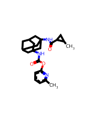 Cc1cccc(OC(=O)NC23CC4CC(C2)CC(NC(=O)C2CC2C)(C4)C3)n1